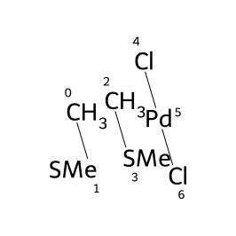 CSC.CSC.[Cl][Pd][Cl]